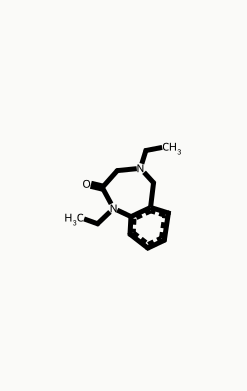 CCN1CC(=O)N(CC)c2ccccc2C1